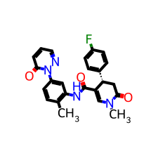 Cc1ccc(-n2ncccc2=O)cc1NC(=O)C1=CN(C)C(=O)C[C@H]1c1ccc(F)cc1